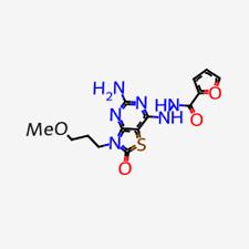 COCCCn1c(=O)sc2c(NNC(=O)c3ccco3)nc(N)nc21